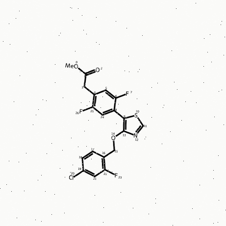 COC(=O)Cc1cc(F)c(-c2scnc2OCc2ccc(Cl)cc2F)cc1F